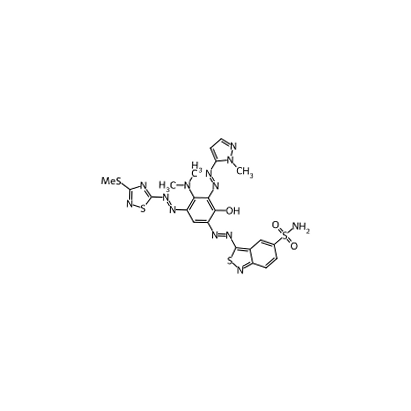 CSc1nsc(/N=N/c2cc(/N=N/c3snc4ccc(S(N)(=O)=O)cc34)c(O)c(/N=N/c3ccnn3C)c2N(C)C)n1